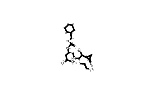 CCCC[C@H](NC[C@@H](CC(C)C)NC(=O)OCC1CCCCC1)C(O)C1CC1=O